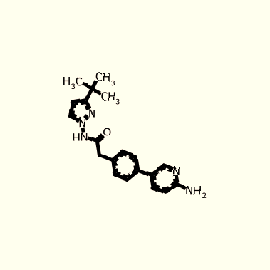 CC(C)(C)c1ccn(NC(=O)Cc2ccc(-c3ccc(N)nc3)cc2)n1